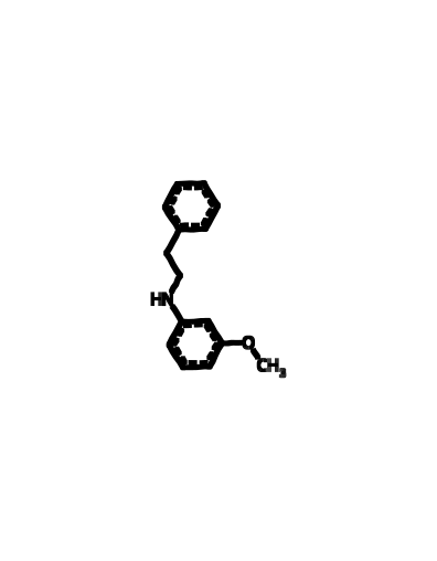 COc1cccc(NCCc2ccccc2)c1